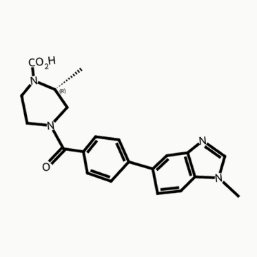 C[C@@H]1CN(C(=O)c2ccc(-c3ccc4c(c3)ncn4C)cc2)CCN1C(=O)O